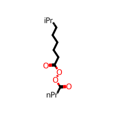 CCCC(=O)OOC(=O)CCCCCC(C)C